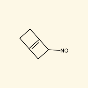 O=NC1CC2=C1CC2